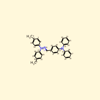 Cc1ccc(N(/N=C/c2ccc(N(c3ccccc3)c3ccccc3)cc2)c2ccc(C)cc2)cc1